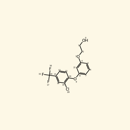 OCCOc1cccc(Oc2ccc(C(F)(F)F)cc2Cl)c1